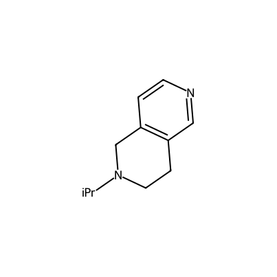 CC(C)N1CCc2cnccc2C1